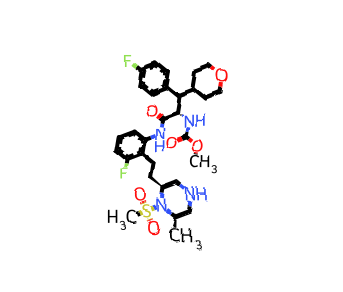 COC(=O)N[C@H](C(=O)Nc1cccc(F)c1CC[C@H]1CNC[C@@H](C)N1S(C)(=O)=O)C(c1ccc(F)cc1)C1CCOCC1